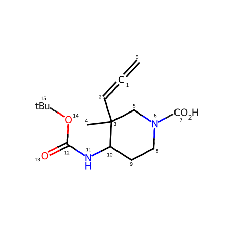 C=C=CC1(C)CN(C(=O)O)CCC1NC(=O)OC(C)(C)C